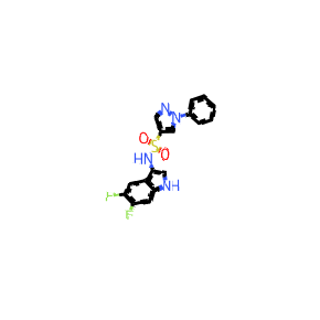 O=S(=O)(Nc1c[nH]c2cc(F)c(F)cc12)c1cnn(-c2ccccc2)c1